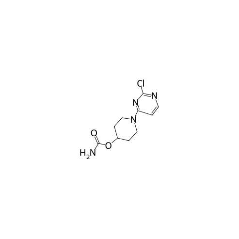 NC(=O)OC1CCN(c2ccnc(Cl)n2)CC1